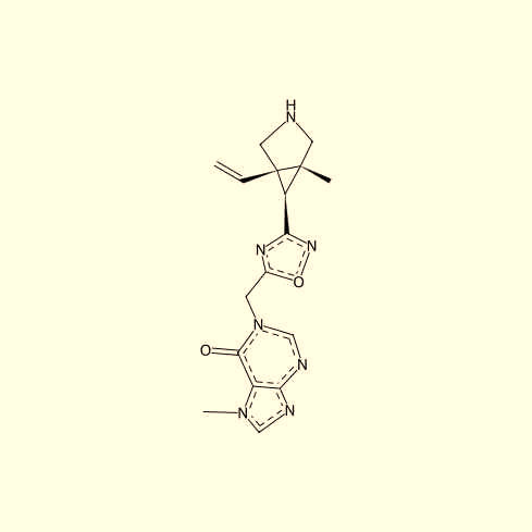 C=C[C@@]12CNC[C@]1(C)[C@H]2c1noc(Cn2cnc3ncn(C)c3c2=O)n1